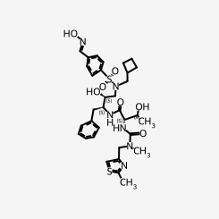 Cc1nc(CN(C)C(=O)N[C@H](C(=O)N[C@@H](Cc2ccccc2)[C@@H](O)CN(CC2CCC2)S(=O)(=O)c2ccc(C=NO)cc2)[C@@H](C)O)cs1